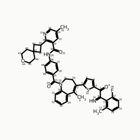 CC1=C(c2ccc(C(=O)C(=N)c3c(C)cccc3F)s2)CCN(C(=O)c2ccc(NC(=O)c3cc(C)cnc3C3CC4(CCOCC4)C3)cc2)c2ccccc21